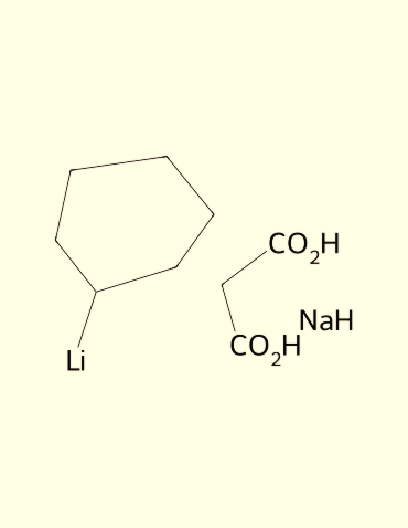 O=C(O)CC(=O)O.[Li][CH]1CCCCC1.[NaH]